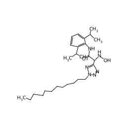 CCCCCCCCCCCCn1nnc(C(NO)C(=O)Nc2c(C(C)C)cccc2C(C)C)n1